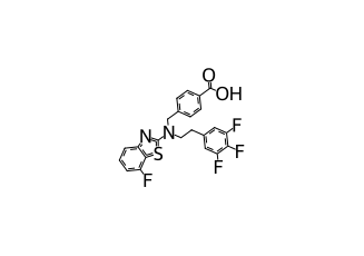 O=C(O)c1ccc(CN(CCc2cc(F)c(F)c(F)c2)c2nc3cccc(F)c3s2)cc1